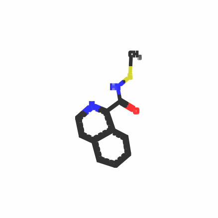 CSNC(=O)c1nccc2ccccc12